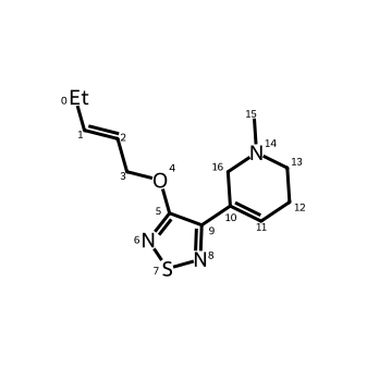 CCC=CCOc1nsnc1C1=CCCN(C)C1